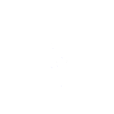 Cc1cccc(C(=O)Nc2cccc3nn4c(C5CCNCC5)cc(=O)[nH]c4c23)c1